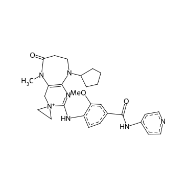 COc1cc(C(=O)Nc2ccncc2)ccc1NC1=NC2=C(C[N+]13CC3)N(C)C(=O)CCN2C1CCCC1